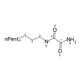 CCCCCCCC[N]C(=O)C(N)=O